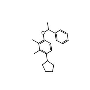 Cc1c(OC(C)c2ccccc2)ccc(C2CCCC2)c1C